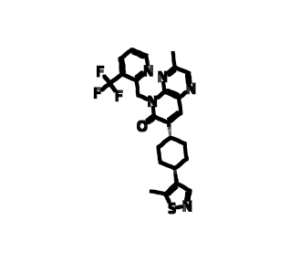 Cc1cnc2cc([C@H]3CC[C@H](c4cnsc4C)CC3)c(=O)n(Cc3ncccc3C(F)(F)F)c2n1